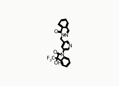 O=C1N(c2cncc(Cn3ncc4ccccc4c3=O)c2)c2ccccc2C1(O)C(F)(F)F